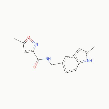 Cc1cc2cc(CNC(=O)c3cc(C)on3)ccc2[nH]1